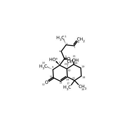 C=C[C@@H](C)CC(=O)[C@@]1(O)[C@@H](C)C(=O)C=C2C(C)(C)CC[C@H](O)[C@@]21C